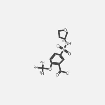 [2H]C([2H])([2H])Oc1ccc(S(=O)(=O)N[C@H]2CCOC2)cc1C(=O)Cl